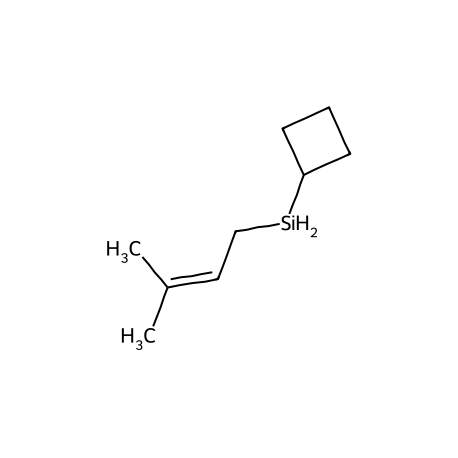 CC(C)=CC[SiH2]C1CCC1